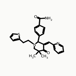 CC1(C)CN(CCc2cccs2)C(c2ccc(C(N)=O)cc2)C(=Cc2ccccn2)C1=O